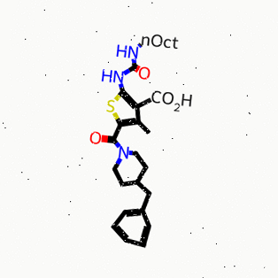 CCCCCCCCNC(=O)Nc1sc(C(=O)N2CCC(Cc3ccccc3)CC2)c(C)c1C(=O)O